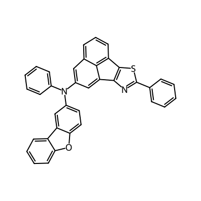 c1ccc(-c2nc3c(s2)-c2cccc4cc(N(c5ccccc5)c5ccc6oc7ccccc7c6c5)cc-3c24)cc1